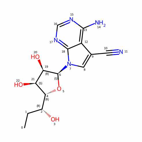 CC[C@@H](O)[C@H]1O[C@H](n2cc(C#N)c3c(N)ncnc32)[C@H](O)[C@@H]1O